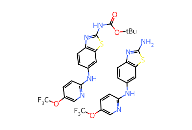 CC(C)(C)OC(=O)Nc1nc2ccc(Nc3ccc(OC(F)(F)F)cn3)cc2s1.Nc1nc2ccc(Nc3ccc(OC(F)(F)F)cn3)cc2s1